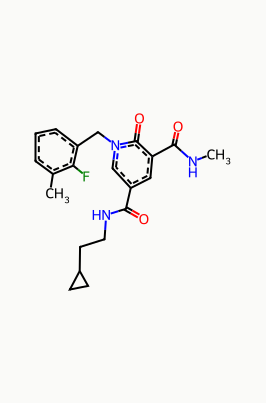 CNC(=O)c1cc(C(=O)NCCC2CC2)cn(Cc2cccc(C)c2F)c1=O